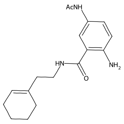 CC(=O)Nc1ccc(N)c(C(=O)NCCC2=CCCCC2)c1